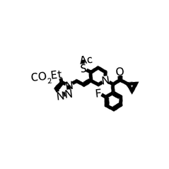 CCOC(=O)c1cnnn1C/C=C1/CN(C(C(=O)C2CC2)c2ccccc2F)CCC1SC(C)=O